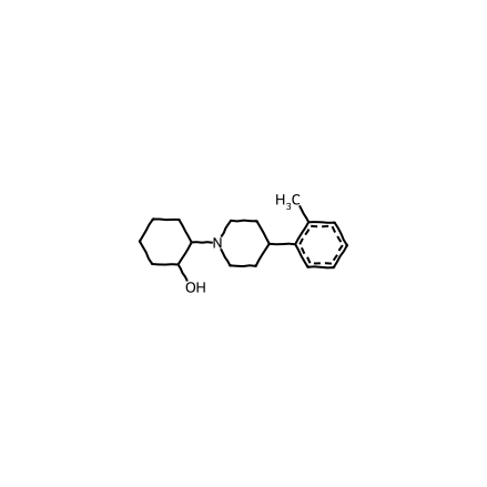 Cc1ccccc1C1CCN(C2CCCCC2O)CC1